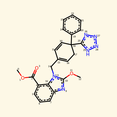 COC(=O)c1cccc2nc(OC)n(CC3=CCC(c4ccccc4)(c4nnn[nH]4)C=C3)c12